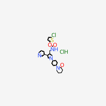 Cl.O=C(NCc1cn(-c2ccc(N3CCCCC3=O)cc2)cc1-c1cccnc1)Oc1ccc(Cl)s1